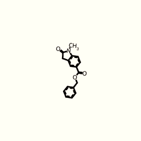 CN1C(=O)Cc2cc(C(=O)OCc3ccccc3)ccc21